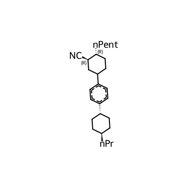 CCCCC[C@@H]1CCC(c2ccc([C@H]3CC[C@H](CCC)CC3)cc2)C[C@H]1C#N